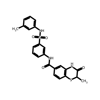 Cc1cccc(NS(=O)(=O)c2cccc(NC(=O)c3ccc4c(c3)NC(=O)C(C)S4)c2)c1